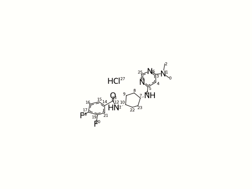 CN(C)c1cc(N[C@H]2CC[C@@H](NC(=O)c3ccc(F)c(F)c3)CC2)ncn1.Cl